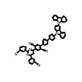 N#Cc1cccc(-c2cc(-c3cc(C#N)c(-c4ccc(-c5ccc(-n6c7ccccc7c7cc(-n8c9ccccc9c9ccccc98)ccc76)cc5)cc4)cc3C#N)nc(-c3cccc(C#N)c3)n2)c1